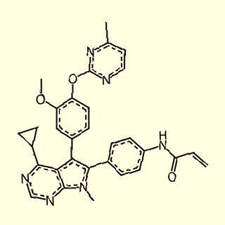 C=CC(=O)Nc1ccc(-c2c(-c3ccc(Oc4nccc(C)n4)c(OC)c3)c3c(C4CC4)ncnc3n2C)cc1